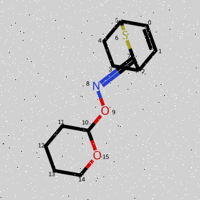 C1=CC2CCC1SC2=NOC1CCCCO1